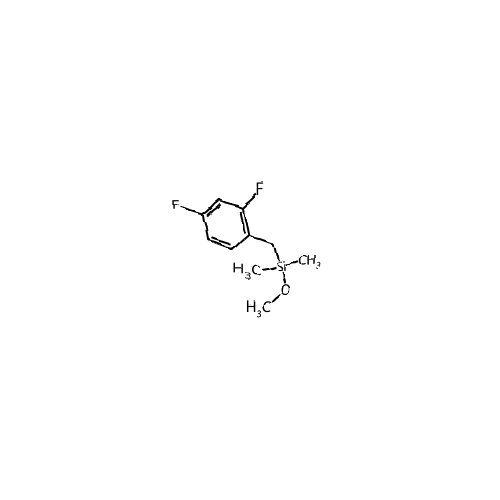 CO[Si](C)(C)Cc1ccc(F)cc1F